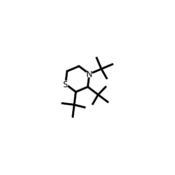 CC(C)(C)C1SCCN(C(C)(C)C)C1C(C)(C)C